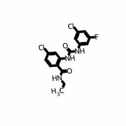 CCNC(=O)c1ccc(Cl)cc1NC(=O)Nc1cc(F)cc(Cl)c1